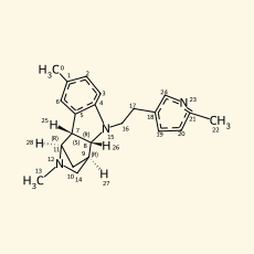 Cc1ccc2c(c1)[C@@H]1[C@@H]([C@@H]3C[C@H]1N(C)C3)N2CCc1ccc(C)nc1